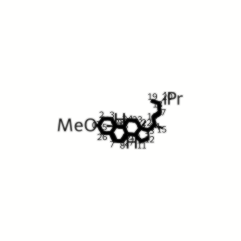 CO[C@H]1CC[C@@]2(C)C(=CC=C3[C@@H]4CC[C@H]([C@H](C)/C=C/[C@H](C)C(C)C)[C@@]4(C)CC[C@@H]32)C1